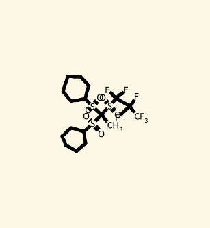 CC(S(=O)(=O)C1CCCCC1)(S(=O)(=O)C1CCCCC1)S(=O)(=O)C(F)(F)C(F)(F)C(F)(F)F